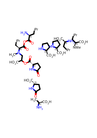 CC(C)C[C@H](N)C(=O)O.CC(C)C[C@H](N)C(=O)OC(=O)[C@H](CC(C)C)N(C)CC(OC(=O)[C@@H]1CCC(=O)N1)C(=O)O.CN[C@@H](CC(C)C)C(=O)O.C[C@H](N)C(=O)O.O=C(O)[C@@H]1CCCN1.O=C(O)[C@@H]1CCCN1.O=C1CC[C@@H](C(=O)O)N1